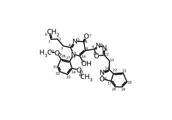 C=CCCc1nc(=O)c(-c2nnc(Cc3noc4ccccc34)o2)c(O)n1-c1c(OC)cccc1OC